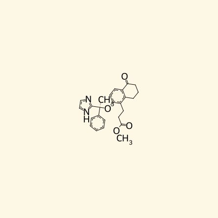 COC(=O)CCc1c(O[C@@](C)(c2ccccc2)c2ncc[nH]2)ccc2c1CCCC2=O